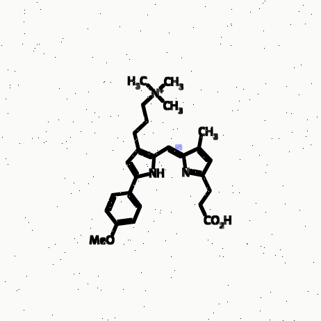 COc1ccc(-c2cc(CCC[N+](C)(C)C)c(/C=C3\N=C(CCC(=O)O)C=C3C)[nH]2)cc1